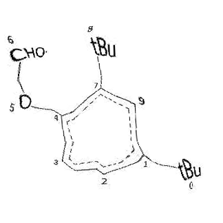 CC(C)(C)c1ccc(O[C]=O)c(C(C)(C)C)c1